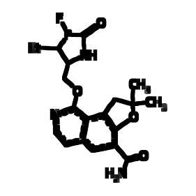 CCC1C(COc2nccc3cc(C(N)=O)c4c(c23)CC(C)(C)O4)NC(=O)P1F